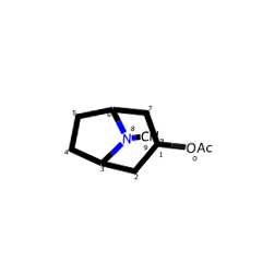 CC(=O)OC1CC2CCC(C1)N2C